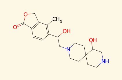 Cc1c(C(O)CN2CCC3(CCNCC3O)CC2)ccc2c1COC2=O